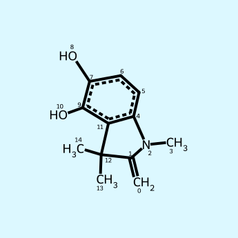 C=C1N(C)c2ccc(O)c(O)c2C1(C)C